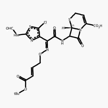 CC(C)(C)OC(=O)C=CCON=C(C(=O)NC1C(=O)N2C(C(=O)O)=CCS[C@@H]12)c1nc(NC=O)sc1Cl